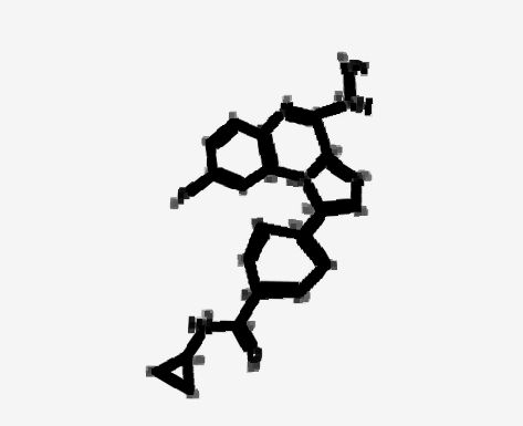 CCCNc1nc2ccc(F)cc2n2c(-c3ccc(C(=O)NC4CC4)cc3)cnc12